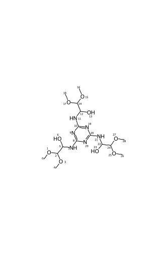 COC(OC)C(O)Nc1nc(NC(O)C(OC)OC)nc(NC(O)C(OC)OC)n1